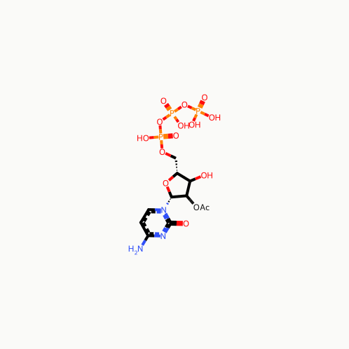 CC(=O)OC1C(O)[C@@H](COP(=O)(O)OP(=O)(O)OP(=O)(O)O)O[C@H]1n1ccc(N)nc1=O